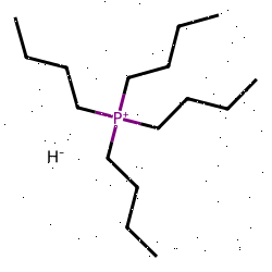 CCCC[P+](CCCC)(CCCC)CCCC.[H-]